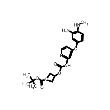 CNc1ccc(Oc2ccnc(NC(=O)OC3CN(C(=O)OC(C)(C)C)C3)c2)cc1N